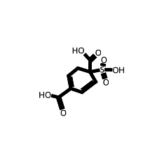 O=C(O)C1=CCC(C(=O)O)(S(=O)(=O)O)C=C1